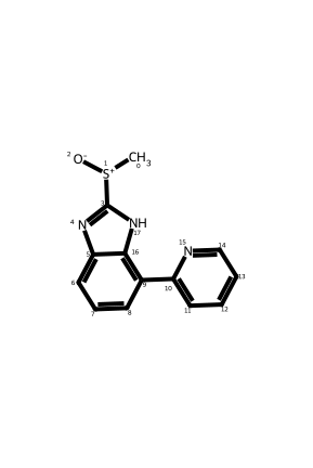 C[S+]([O-])c1nc2cccc(-c3ccccn3)c2[nH]1